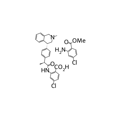 COC(=O)c1ccc(Cl)cc1N.C[C@H](C(=O)Nc1cc(Cl)ccc1C(=O)O)c1ccc([C@H]2CN(C)Cc3ccccc32)cc1